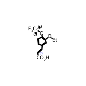 CCOc1cc(/C=C/C(=O)O)ccc1OS(=O)(=O)C(F)(F)F